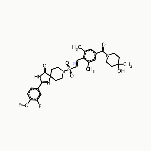 Cc1cc(C(=O)N2CCC(C)(O)CC2)cc(C)c1/C=C/S(=O)(=O)N1CCC2(CC1)N=C(c1ccc(OF)c(F)c1)NC2=O